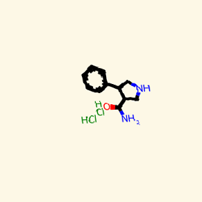 Cl.Cl.NC(=O)C1CNCC1c1ccccc1